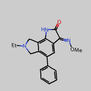 CCN1Cc2c(-c3ccccc3)cc3c(c2C1)NC(=O)C3=NOC